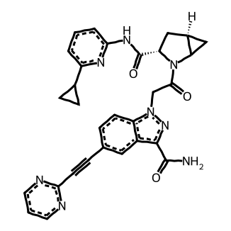 NC(=O)c1nn(CC(=O)N2C3C[C@@H]3C[C@H]2C(=O)Nc2cccc(C3CC3)n2)c2ccc(C#Cc3ncccn3)cc12